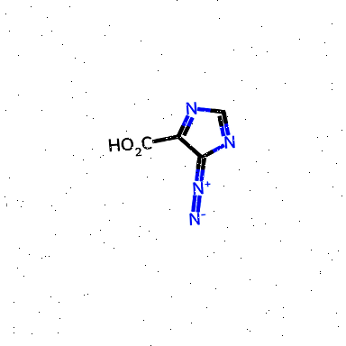 [N-]=[N+]=C1N=CN=C1C(=O)O